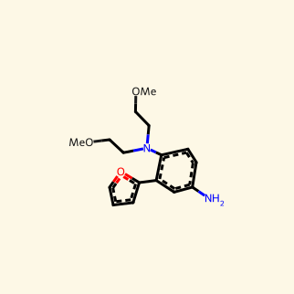 COCCN(CCOC)c1ccc(N)cc1-c1ccco1